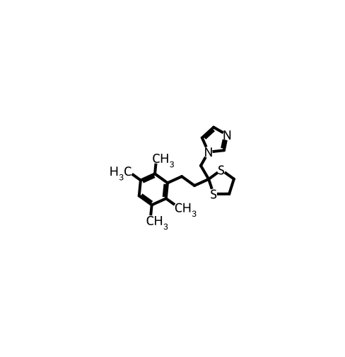 Cc1cc(C)c(C)c(CCC2(Cn3ccnc3)SCCS2)c1C